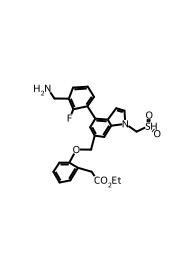 CCOC(=O)Cc1ccccc1OCc1cc(-c2cccc(CN)c2F)c2ccn(C[SH](=O)=O)c2c1